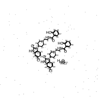 Cl.Cl.O.O=C(NCCN1CCC(n2c(=O)[nH]c3cc(Cl)ccc32)CC1)c1ccccc1O.O=C(NCCN1CCC(n2c(=O)[nH]c3cc(Cl)ccc32)CC1)c1ccccc1O